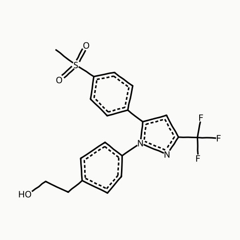 CS(=O)(=O)c1ccc(-c2cc(C(F)(F)F)nn2-c2ccc(CCO)cc2)cc1